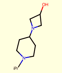 CC(C)N1CCC(N2CC(O)C2)CC1